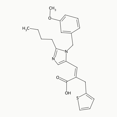 CCCCc1ncc(C=C(Cc2cccs2)C(=O)O)n1Cc1cccc(OC)c1